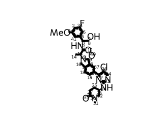 COc1cc(F)cc(C(CO)NC(=O)C(C)N2Cc3ccc(-c4nc(N[C@@H]5CCC(=O)N(C)C5)ncc4Cl)cc3C2=O)c1